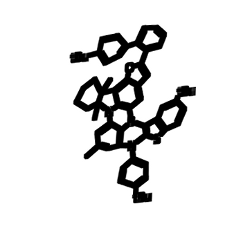 Cc1cc2c3c(c1)N1c4c(cc5cc(-c6ccccc6-c6ccc(C(C)(C)C)cc6)oc5c4C4(C)CCCCC14C)B3c1c(sc3ccc(C(C)(C)C)cc13)N2c1ccc(C(C)(C)C)cc1